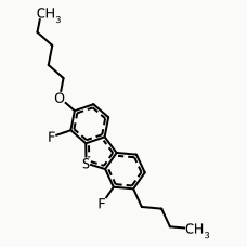 CCCCCOc1ccc2c(sc3c(F)c(CCCC)ccc32)c1F